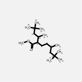 COC(=O)C(CCC(C)CC(C)(C)C)C(C)CC(C)(C)C